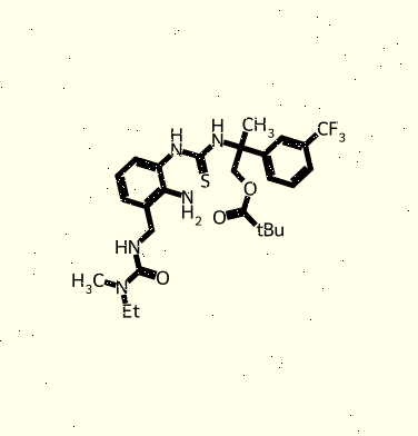 CCN(C)C(=O)NCc1cccc(NC(=S)NC(C)(COC(=O)C(C)(C)C)c2cccc(C(F)(F)F)c2)c1N